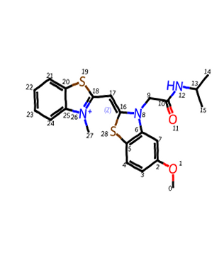 COc1ccc2c(c1)N(CC(=O)NC(C)C)/C(=C/c1sc3ccccc3[n+]1C)S2